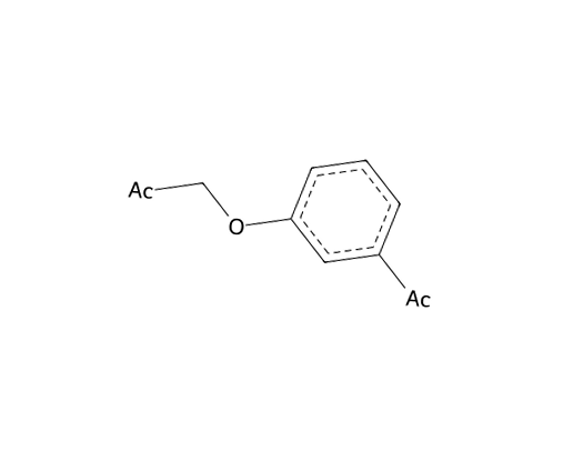 CC(=O)COc1cccc(C(C)=O)c1